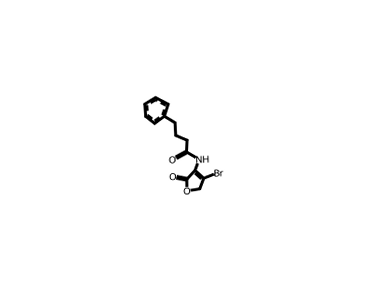 O=C(CCCc1ccccc1)NC1=C(Br)COC1=O